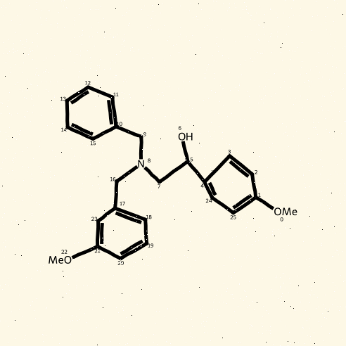 COc1ccc(C(O)CN(Cc2ccccc2)Cc2cccc(OC)c2)cc1